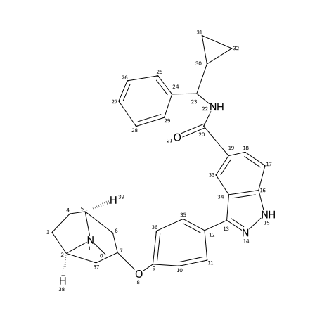 CN1[C@@H]2CC[C@H]1CC(Oc1ccc(-c3n[nH]c4ccc(C(=O)NC(c5ccccc5)C5CC5)cc34)cc1)C2